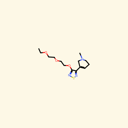 CCOCCOCCOc1nsnc1C1=CCCN(C)C1